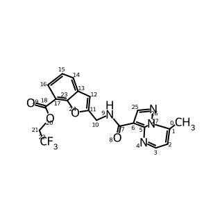 Cc1ccnc2c(C(=O)NCc3cc4cccc(C(=O)OCC(F)(F)F)c4o3)cnn12